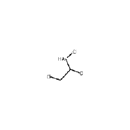 ClCC(Cl)[AsH]Cl